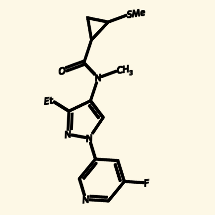 CCc1nn(-c2cncc(F)c2)cc1N(C)C(=O)C1CC1SC